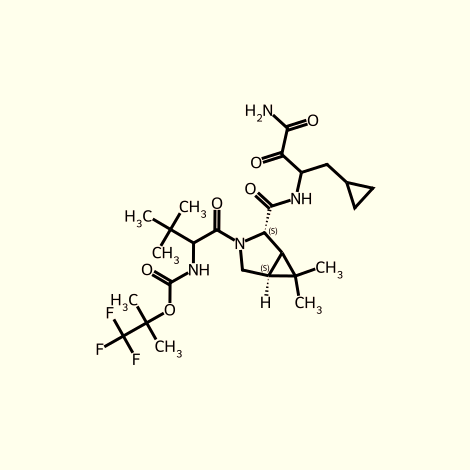 CC(C)(C)C(NC(=O)OC(C)(C)C(F)(F)F)C(=O)N1C[C@H]2C([C@H]1C(=O)NC(CC1CC1)C(=O)C(N)=O)C2(C)C